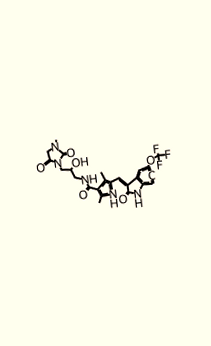 Cc1[nH]c(/C=C2\C(=O)Nc3ccc(OC(F)(F)F)cc32)c(C)c1C(=O)NCC(O)CN1C(=O)CN(C)C1=O